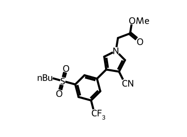 CCCCS(=O)(=O)c1cc(-c2cn(CC(=O)OC)cc2C#N)cc(C(F)(F)F)c1